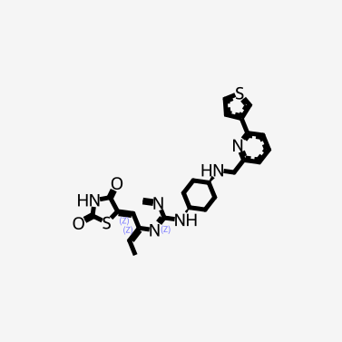 C=N\C(=N/C(=C\C)/C=C1\SC(=O)NC1=O)N[C@H]1CC[C@H](NCc2cccc(-c3ccsc3)n2)CC1